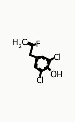 C=C(F)Cc1cc(Cl)c(O)c(Cl)c1